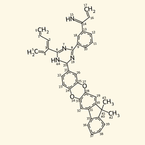 C=C/C=C(\C=C)C1=NC(c2cccc(C(=N)C=C)c2)=NC(c2ccc3c(c2)Oc2cc4c(cc2O3)-c2ccccc2C4(C)C)N1